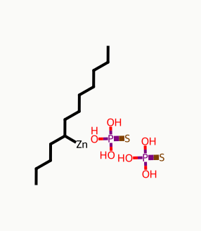 CCCCCCC[CH]([Zn])CCCC.OP(O)(O)=S.OP(O)(O)=S